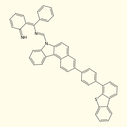 N=C1C=CC=C/C1=C(/N=C/n1c2ccccc2c2c3ccc(-c4ccc(-c5cccc6c5sc5ccccc56)cc4)cc3ccc21)c1ccccc1